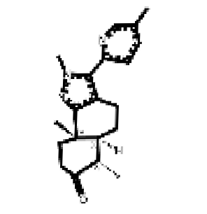 Cc1ccc(-c2c3c(nn2C)[C@@]2(C)CCC(=O)[C@@H](C)[C@@H]2CC3)nc1